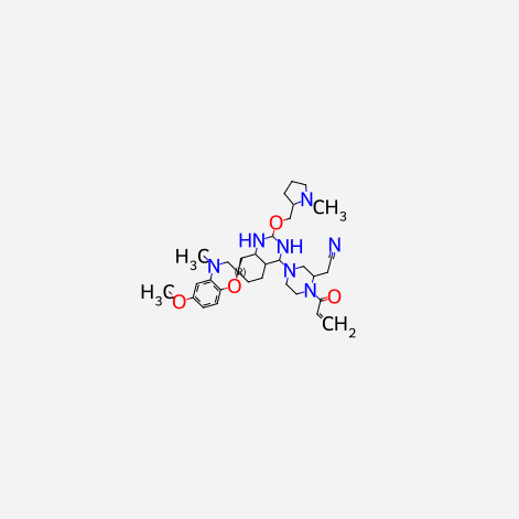 C=CC(=O)N1CCN(C2NC(OCC3CCCN3C)NC3C[C@]4(CCC32)CN(C)c2cc(OC)ccc2O4)CC1CC#N